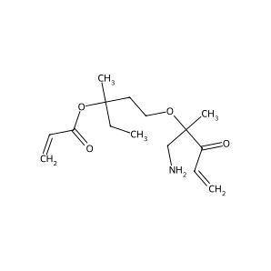 C=CC(=O)OC(C)(CC)CCOC(C)(CN)C(=O)C=C